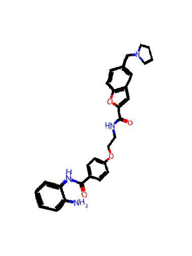 Nc1ccccc1NC(=O)c1ccc(OCCNC(=O)c2cc3cc(CN4CCCC4)ccc3o2)cc1